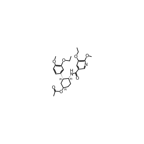 CCOc1cc([C@H]2C[C@H](OC(C)=O)CC[C@H]2NC(=O)c2cnc(OC)c(OCC)c2)ccc1OC